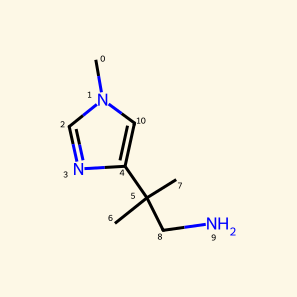 Cn1cnc(C(C)(C)CN)c1